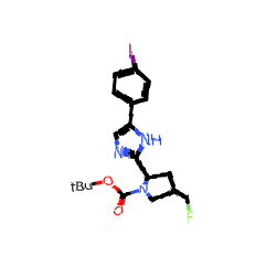 CC(C)(C)OC(=O)N1CC(CF)CC1c1ncc(-c2ccc(I)cc2)[nH]1